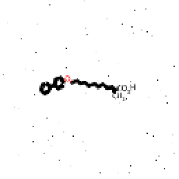 C=C(CCCCCCCCCCOc1ccc(-c2ccccc2)cc1)C(=O)O